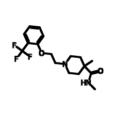 CNC(=O)C1(C)CCN(CCOc2ccccc2C(F)(F)F)CC1